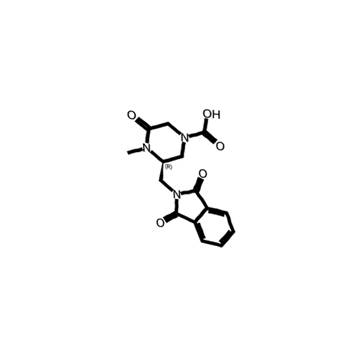 CN1C(=O)CN(C(=O)O)C[C@H]1CN1C(=O)c2ccccc2C1=O